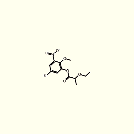 CCOC(C)C(=O)Oc1cc(Br)cc([N+](=O)[O-])c1OC